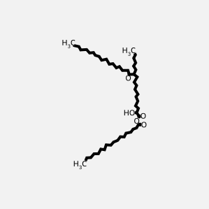 CCCCCCCCCCCCCCCCCC(=O)OC(=O)C(O)CCCCCCCCCC(CCCCCC)C(=O)CCCCCCCCCCCCCCCCC